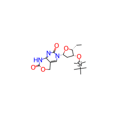 CC[C@H]1O[C@@H](n2cc3c(nc2=O)NC(=O)OC3)C[C@H]1O[Si](C)(C)C(C)(C)C